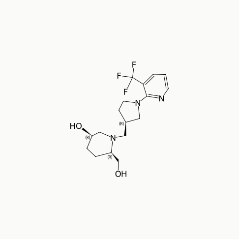 OC[C@H]1CC[C@@H](O)CN1C[C@H]1CCN(c2ncccc2C(F)(F)F)C1